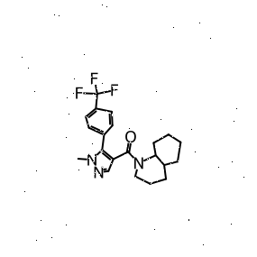 Cn1ncc(C(=O)N2CCCC3CCCCC32)c1-c1ccc(C(F)(F)F)cc1